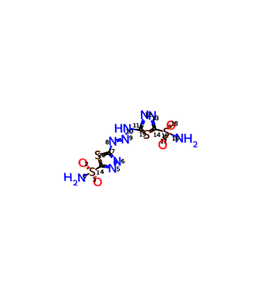 NS(=O)(=O)c1nnc(N=NNc2nnc(S(N)(=O)=O)s2)s1